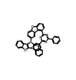 c1ccc(-c2nc(-c3ccccc3)nc(-c3cccc4oc5ccc(-n6c7c8ccccc8oc7n7c8ccccc8nc67)cc5c34)n2)cc1